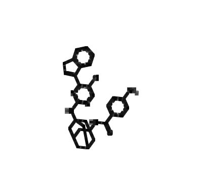 Nc1ccc(C(=O)NC23CC4CC(C2)CC(Nc2ncc(Cl)c(C5=CCc6ccccc65)n2)(C4)C3)cc1